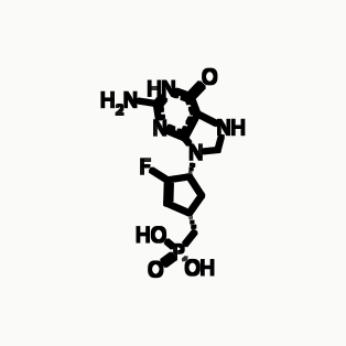 Nc1nc2c(c(=O)[nH]1)NCN2[C@@H]1C[C@H](CP(=O)(O)O)C=C1F